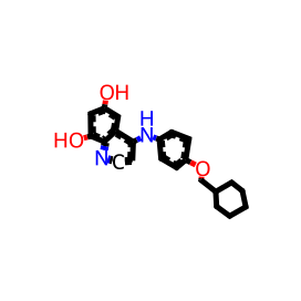 Oc1cc(O)c2nccc(Nc3ccc(OCC4CCCCC4)cc3)c2c1